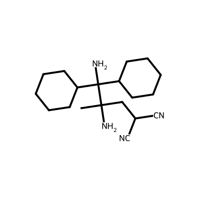 CC(N)(CC(C#N)C#N)C(N)(C1CCCCC1)C1CCCCC1